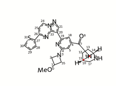 COC1CN(c2cc(C(=O)N3C[C@H]4CC[C@@H](C3)NC4)cc(-c3cnn4ccc(-c5cccs5)nc34)n2)C1